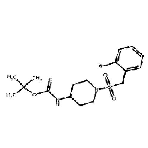 CC(C)(C)OC(=O)NC1CCN(S(=O)(=O)Cc2ccccc2Br)CC1